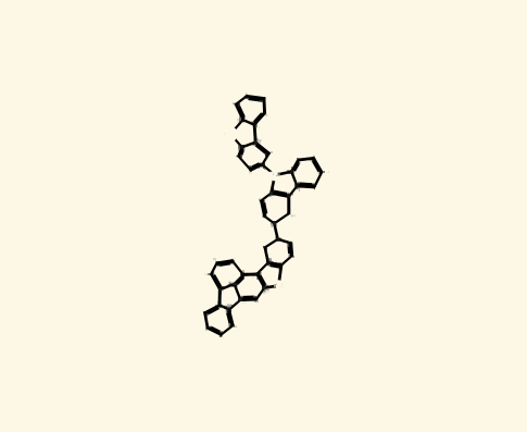 C1=CC(C2C=Cc3c(c4ccccc4n3-c3ccc4oc5ccccc5c4c3)C2)Cc2c1[nH]c1cc3c4c(cccc4c21)-c1ccccc1-3